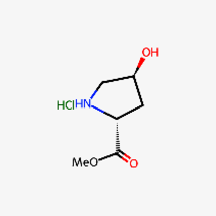 COC(=O)[C@H]1C[C@H](O)CN1.Cl